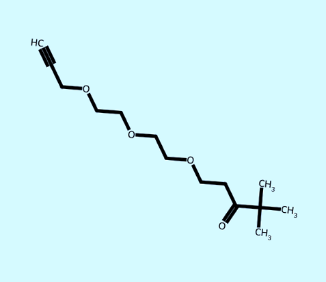 C#CCOCCOCCOCCC(=O)C(C)(C)C